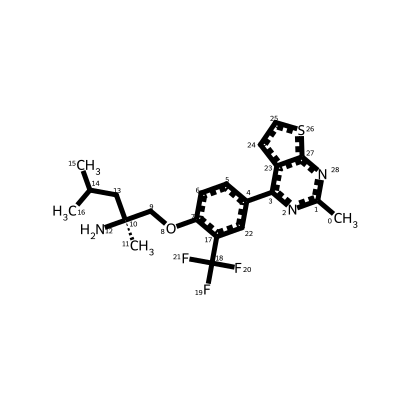 Cc1nc(-c2ccc(OC[C@@](C)(N)CC(C)C)c(C(F)(F)F)c2)c2ccsc2n1